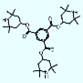 CC1(C)CC(OC(=O)c2cc(C(=O)OC3CC(C)(C)NC(C)(C)C3)cc(C(=O)OC3CC(C)(C)NC(C)(C)C3)c2)CC(C)(C)N1